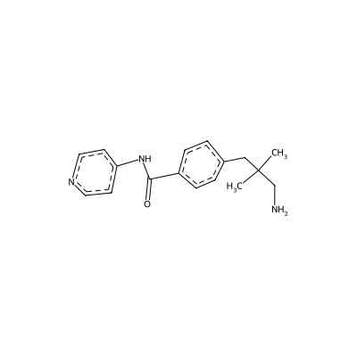 CC(C)(CN)Cc1ccc(C(=O)Nc2ccncc2)cc1